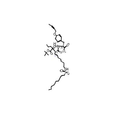 CC#CCOC1C=CC(C[C@H](NC(=O)[C@@H](/C=C/CCCCCNS(=O)(=O)CCCCCCCC)[C@@](O)(CCC)C(=O)OC(C)(C)C)C(=O)OC)=CC1